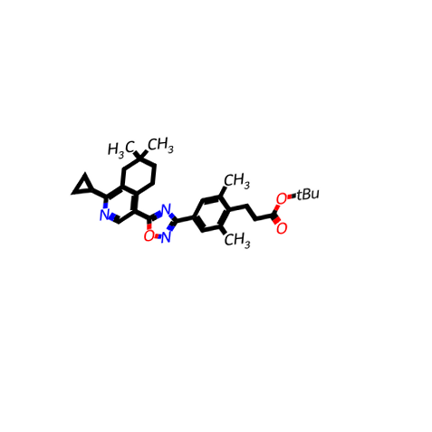 Cc1cc(-c2noc(-c3cnc(C4CC4)c4c3CCC(C)(C)C4)n2)cc(C)c1CCC(=O)OC(C)(C)C